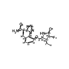 CC[C@@H]1[C@H](F)C(=O)N[C@@H]1COc1cccc2cc(C(N)=O)c3nnnn3c12